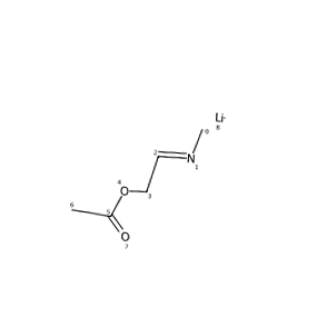 CN=CCOC(C)=O.[Li]